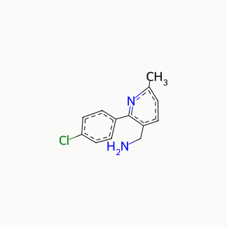 Cc1ccc(CN)c(-c2ccc(Cl)cc2)n1